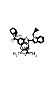 COc1cc(C(=O)N2CC3CCC2C3N)cc2nc(-c3cc4ccccc4n3CC3CC3)n(Cc3cn(C)nc3C)c12